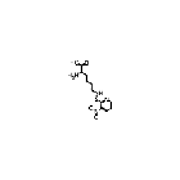 NC(CCCCNSc1ncccc1[N+](=O)[O-])C(=O)O